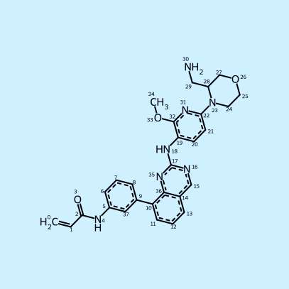 C=CC(=O)Nc1cccc(-c2cccc3cnc(Nc4ccc(N5CCOCC5CN)nc4OC)nc23)c1